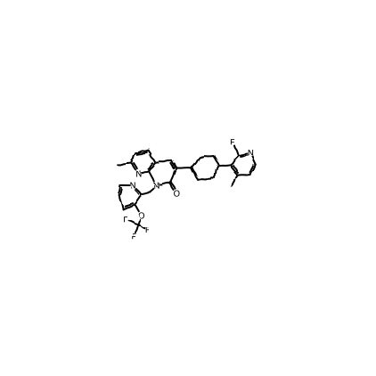 Cc1ccc2cc(C3CCC(c4c(C)ccnc4F)CC3)c(=O)n(Cc3ncccc3OC(F)(F)F)c2n1